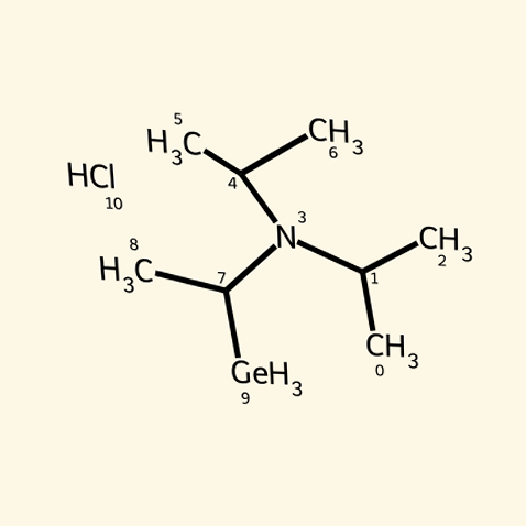 CC(C)N(C(C)C)[CH](C)[GeH3].Cl